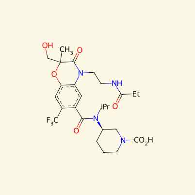 CCC(=O)NCCN1C(=O)C(C)(CO)Oc2cc(C(F)(F)F)c(C(=O)N(C(C)C)[C@@H]3CCCN(C(=O)O)C3)cc21